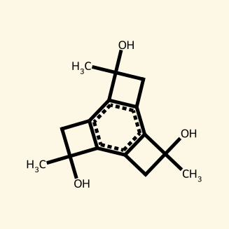 CC1(O)Cc2c1c1c(c3c2C(C)(O)C3)C(C)(O)C1